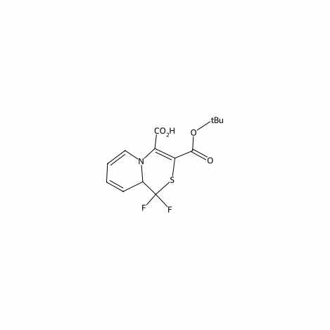 CC(C)(C)OC(=O)C1=C(C(=O)O)N2C=CC=CC2C(F)(F)S1